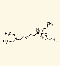 CCOC(C)(OCC)[SiH2]CCOCCN(CC)CC